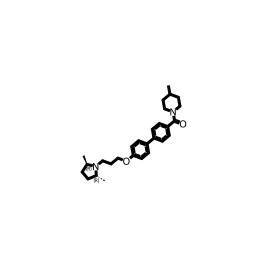 CC1CCN(C(=O)c2ccc(-c3ccc(OCCCN4[C@H](C)CC[C@H]4C)cc3)cc2)CC1